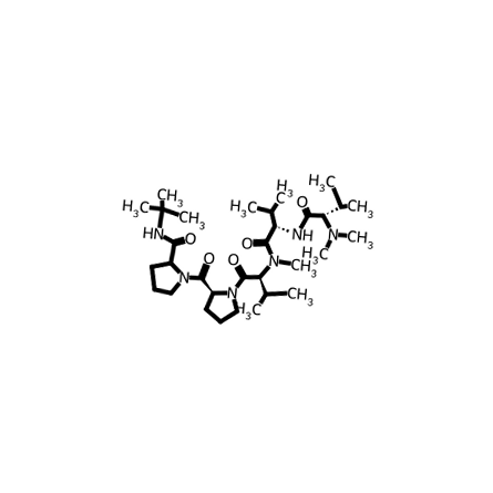 CC(C)[C@H](NC(=O)[C@H](C(C)C)N(C)C)C(=O)N(C)[C@H](C(=O)N1CCC[C@H]1C(=O)N1CCCC1C(=O)NC(C)(C)C)C(C)C